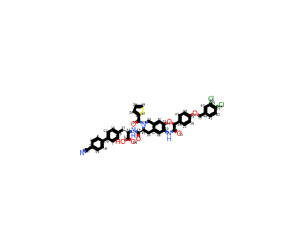 N#Cc1ccc(-c2ccc(C[C@H](NC(=O)[C@@H]3Cc4cc5c(cc4CN3C(=O)c3cccs3)OC(c3ccc(OCc4ccc(Cl)c(Cl)c4)cc3)C(=O)N5)C(=O)O)cc2)cc1